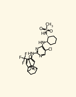 CS(=O)(=O)N[C@@H]1CCCC[C@H]1Nc1nc(Nc2ccc3c(c2)C2CCC3CN(C(=O)C(F)(F)F)C2)ncc1Cl